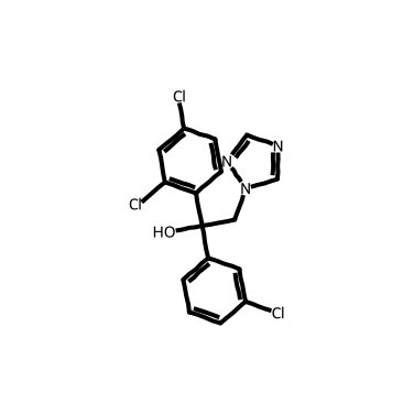 OC(Cn1cncn1)(c1cccc(Cl)c1)c1ccc(Cl)cc1Cl